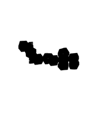 c1ccc2c(-c3c4ccccc4c(-c4ccc5cc(-c6ccc7sc8cc9c(cc8c7c6)sc6ccccc69)ccc5c4)c4ccccc34)cccc2c1